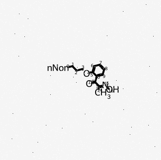 CCCCCCCCCCCCOc1ccccc1C(=O)C(C)=NO